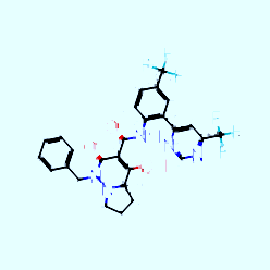 C[C@]12CCCN1N(Cc1ccccc1)C(=O)C(C(=O)Nc1ccc(C(F)(F)F)cc1-c1cc(C(F)(F)F)ncn1)=C2O